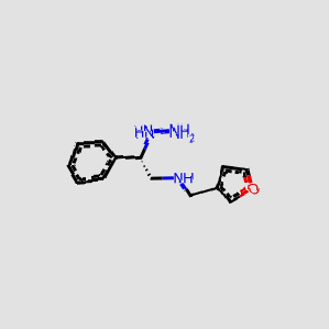 NN[C@H](CNCc1ccoc1)c1ccccc1